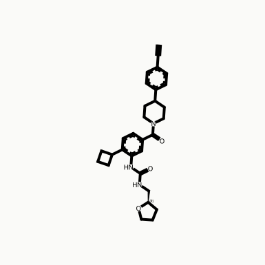 C#Cc1ccc(C2CCN(C(=O)c3ccc(C4CCC4)c(NC(=O)NC[C@H]4CCCO4)c3)CC2)cc1